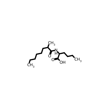 CCCCCCC(C)C(=O)NC(CCCC)C(=O)O